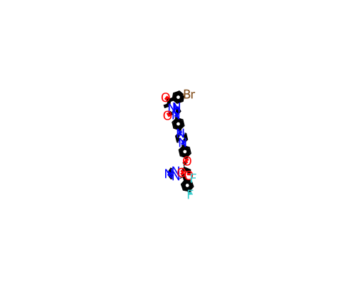 CC(C(=O)c1ccc(Br)cc1)n1ncn(-c2ccc(N3CCN(c4ccc(OC[C@@H]5CO[C@@](Cn6cncn6)(c6ccc(F)cc6F)O5)cc4)CC3)cc2)c1=O